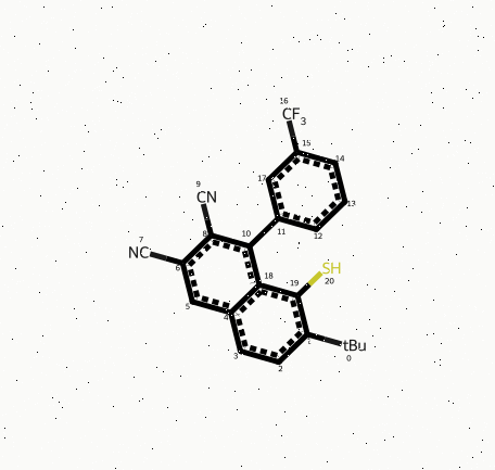 CC(C)(C)c1ccc2cc(C#N)c(C#N)c(-c3cccc(C(F)(F)F)c3)c2c1S